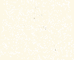 Cc1cc2c(c(-c3ccc(Oc4ccccc4)nc3)c1)NS(=O)(=O)CC2